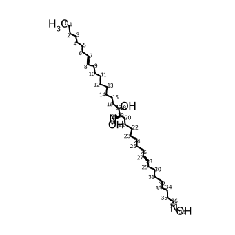 CCCCCCCC=CCCCCCCCCC(O)C(CCCCCCCC=CCCCCCCCC=NO)=NO